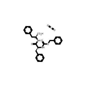 O=C(N[C@@H](Cc1ccccc1)C(=O)N[C@@H](Cc1ccccc1)C(=O)O)OCc1ccccc1.O=C=O